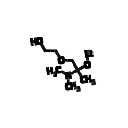 CCOC(C)(COCCO)N(C)C